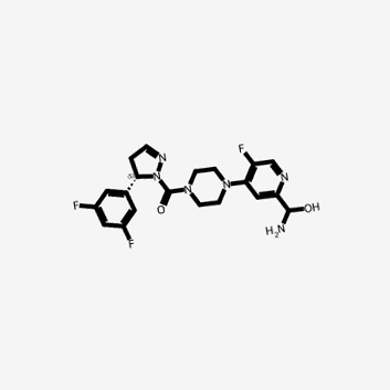 NC(O)c1cc(N2CCN(C(=O)N3N=CC[C@H]3c3cc(F)cc(F)c3)CC2)c(F)cn1